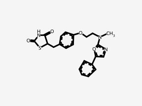 CN(CCOc1ccc(CC2SC(=O)NC2=O)cc1)c1ncc(-c2ccccc2)o1